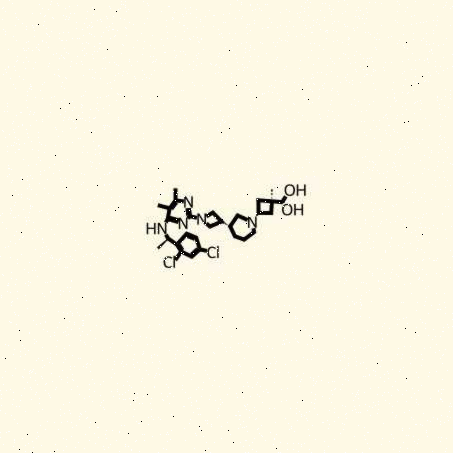 Cc1nc(N2CC([C@H]3CCCN([C@H]4C[C@](C)(C(O)O)C4)C3)C2)nc(N[C@H](C)c2ccc(Cl)cc2Cl)c1C